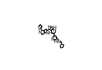 c1csc(-c2nccc3[nH]c(-c4n[nH]c5ncc(-c6cncc(CNCC7CCCC7)c6)cc45)cc23)c1